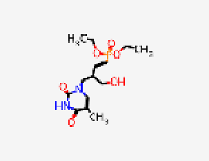 CCOP(=O)(C=CC(CO)Cn1cc(C)c(=O)[nH]c1=O)OCC